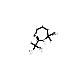 CCC(C)C1(C)CCCN=C(C(C)(S)CC)O1